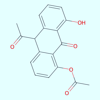 CC(=O)Oc1cccc2c1C(=O)c1c(O)cccc1C2C(C)=O